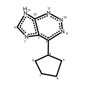 c1nc2c(C3CCCC3)nnnc2[nH]1